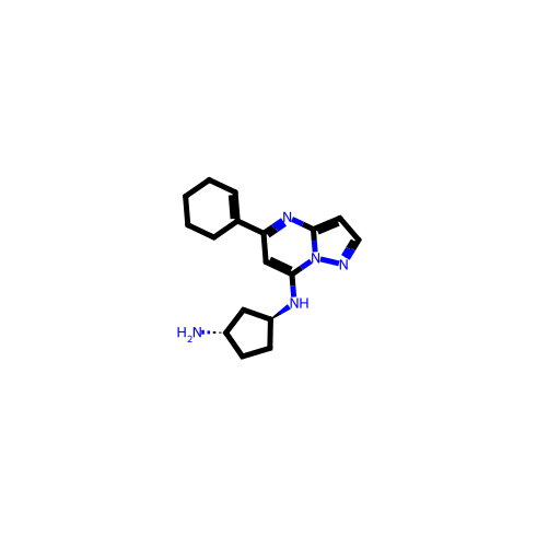 N[C@H]1CC[C@H](Nc2cc(C3=CCCCC3)nc3ccnn23)C1